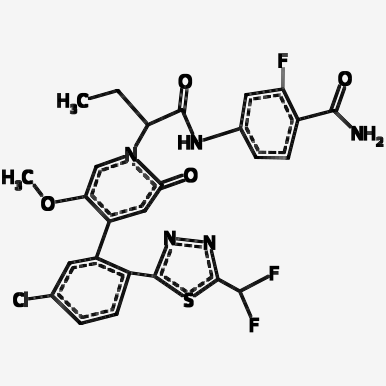 CCC(C(=O)Nc1ccc(C(N)=O)c(F)c1)n1cc(OC)c(-c2cc(Cl)ccc2-c2nnc(C(F)F)s2)cc1=O